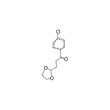 O=C(CCC1OCCO1)c1ccc(Cl)cc1